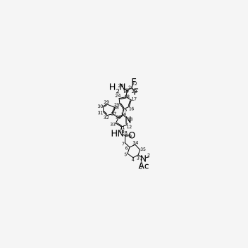 CC(=O)N(C)C1CCC(CC(=O)Nc2cnc(-c3ccc([C@H](N)C(F)F)cc3)c(-c3ccccc3)c2)CC1